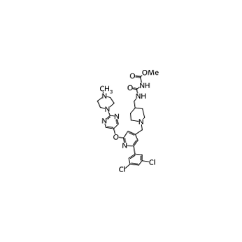 COC(=O)NC(=O)NCC1CCN(Cc2cc(Oc3cnc(N4CCN(C)CC4)nc3)nc(-c3cc(Cl)cc(Cl)c3)c2)CC1